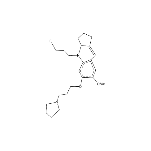 COc1cc2c(cc1OCCCN1CCCC1)N(CCCF)C1CCCC1=C2